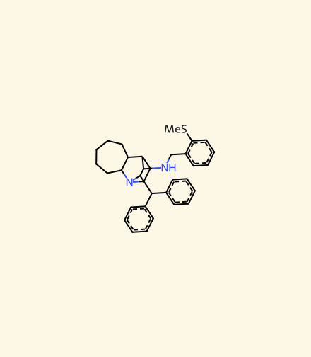 CSc1ccccc1CNC1C2CCN(C3CCCCCC23)C1C(c1ccccc1)c1ccccc1